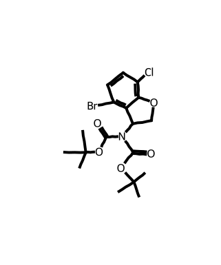 CC(C)(C)OC(=O)N(C(=O)OC(C)(C)C)C1COc2c(Cl)ccc(Br)c21